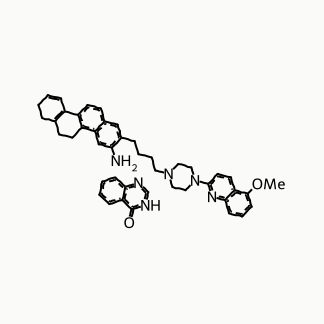 COc1cccc2nc(N3CCN(CCCCc4cc5ccc6c(c5cc4N)CCC4=C6C=CCC4)CC3)ccc12.O=c1[nH]cnc2ccccc12